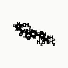 BC(B)(B)c1noc(-c2ccc3c(c2)OC[C@H]3NC(=O)c2ccnn2C)n1